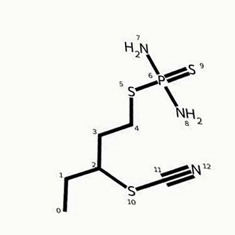 CCC(CCSP(N)(N)=S)SC#N